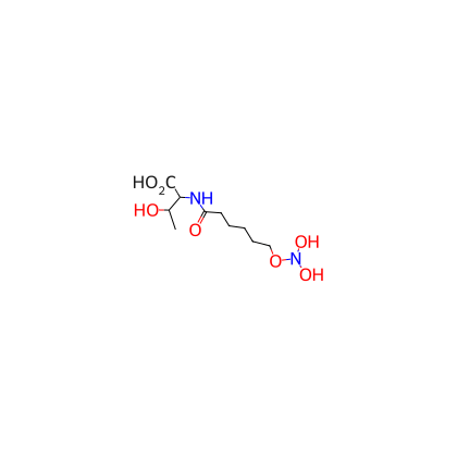 CC(O)C(NC(=O)CCCCCON(O)O)C(=O)O